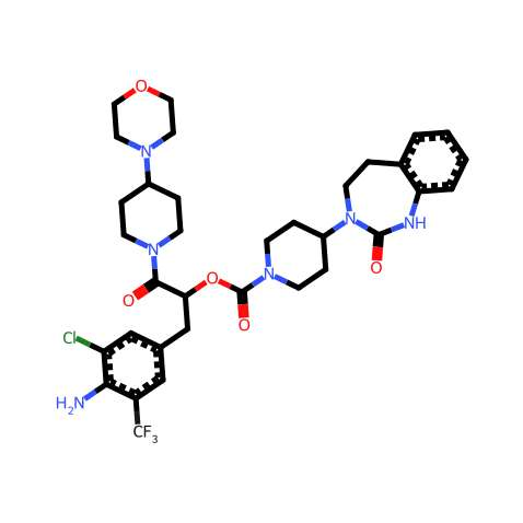 Nc1c(Cl)cc(CC(OC(=O)N2CCC(N3CCc4ccccc4NC3=O)CC2)C(=O)N2CCC(N3CCOCC3)CC2)cc1C(F)(F)F